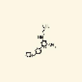 CCCCNc1cc(N)nc(-c2ccc(CN3CCCC3)cc2)c1